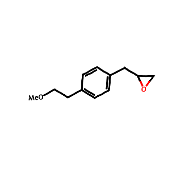 COCCc1ccc([CH]C2CO2)cc1